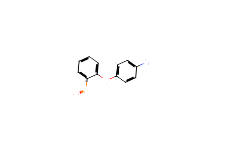 Nc1ccc(Oc2ccccc2P=O)cc1